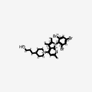 Cc1cc(N2CCC(CCCO)CC2)c2c(C)c(C)n(-c3c(Br)cc(Br)cc3Br)c2n1